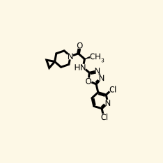 C[C@@H](Nc1nnc(-c2ccc(Cl)nc2Cl)o1)C(=O)N1CCC2(CC1)CC2